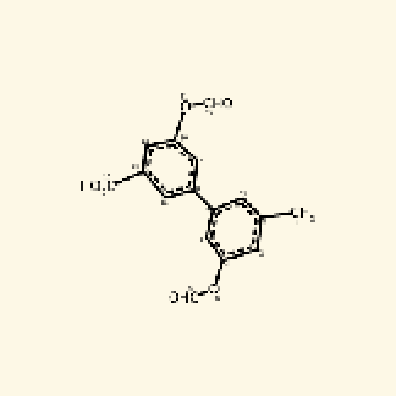 Cc1cc(OC=O)cc(-c2cc(OC=O)cc(C(=O)O)c2)c1